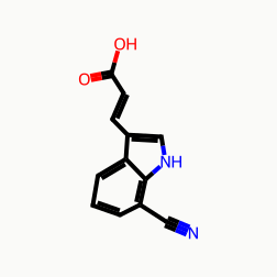 N#Cc1cccc2c(C=CC(=O)O)c[nH]c12